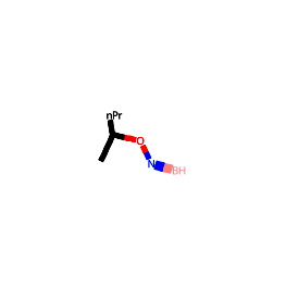 B=NOC(C)CCC